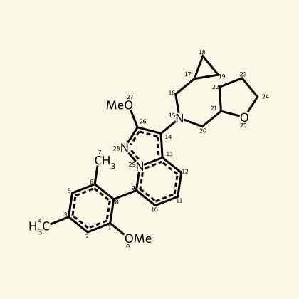 COc1cc(C)cc(C)c1-c1cccc2c(N(CC3CC3)CC3CCCO3)c(OC)nn12